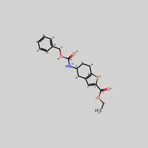 CCOC(=O)c1cc2c(s1)CCC(NC(=O)OCc1ccccc1)C2